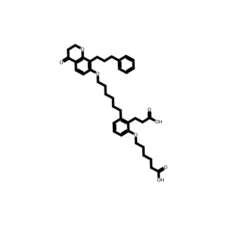 O=C(O)CCCCCOc1cccc(CCCCCCOc2ccc3c(c2CCCc2ccccc2)OCCC3=O)c1CCC(=O)O